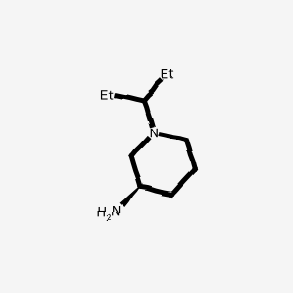 CCC(CC)N1CCC[C@@H](N)C1